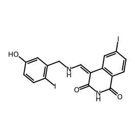 O=C1NC(=O)c2ccc(I)cc2/C1=C/NCc1cc(O)ccc1I